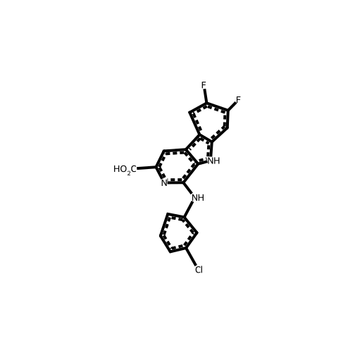 O=C(O)c1cc2c([nH]c3cc(F)c(F)cc32)c(Nc2cccc(Cl)c2)n1